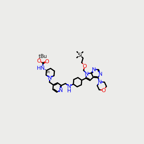 CC(C)(C)OC(=O)N[C@@H]1CCCN(Cc2ccnc(CNC3CCC(c4cc5c(N6CCOCC6)ncnc5n4COCC[Si](C)(C)C)CC3)c2)C1